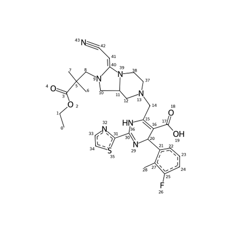 CCOC(=O)C(C)(C)CN1CC2CN(CC3=C(C(=O)O)C(c4cccc(F)c4C)N=C(c4nccs4)N3)CCN2C1=CC#N